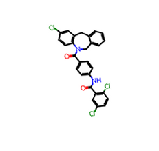 O=C(Nc1ccc(C(=O)N2Cc3ccccc3Cc3cc(Cl)ccc32)cc1)c1cc(Cl)ccc1Cl